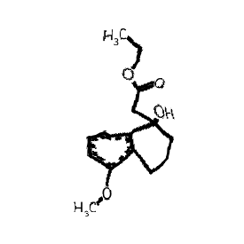 CCOC(=O)CC1(O)CCCc2c(OC)cccc21